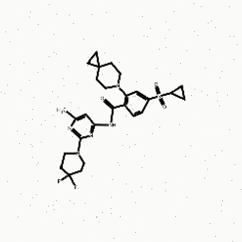 Cc1cc(NC(=O)c2ccc(S(=O)(=O)C3CC3)cc2N2CCC3(CC2)CC3)nc(N2CCC(F)(F)CC2)n1